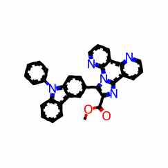 COC(=O)c1nc2c3cccnc3c3cccnc3n2c1-c1ccc2c(c1)c1ccccc1n2-c1ccccc1